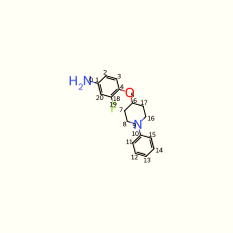 Nc1ccc(OC2CCN(c3ccccc3)CC2)c(F)c1